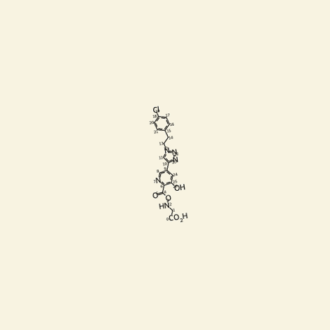 O=C(O)CNOC(=O)c1ncc(-c2cn(CCc3ccc(Cl)cc3)nn2)cc1O